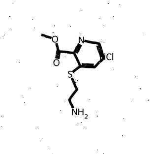 COC(=O)c1ncccc1SCCN.Cl